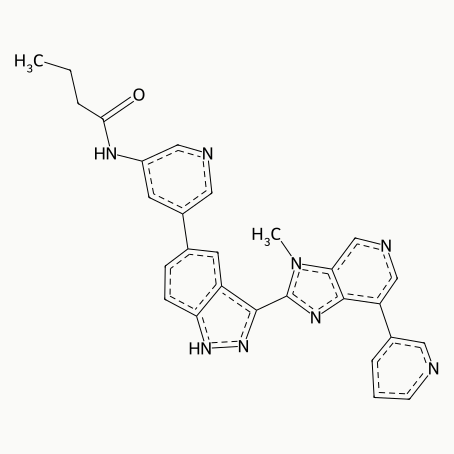 CCCC(=O)Nc1cncc(-c2ccc3[nH]nc(-c4nc5c(-c6cccnc6)cncc5n4C)c3c2)c1